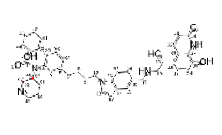 O=C(O)N(c1cc(CCCCn2ccc3cc(CNC[C@H](O)c4ccc(O)c5[nH]c(=O)ccc45)ccc32)ccc1-c1ccccc1)C1CN2CCC1CC2